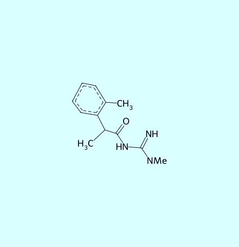 CNC(=N)NC(=O)C(C)c1ccccc1C